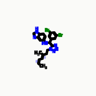 C/C=C\C=C(/C)CCn1nnnc1C(Nc1ccc2[nH]cnc2c1)c1cc(Br)cc(Br)c1